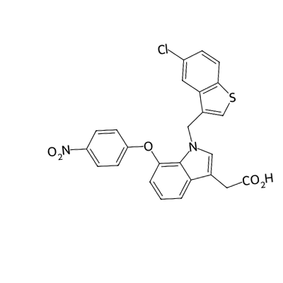 O=C(O)Cc1cn(Cc2csc3ccc(Cl)cc23)c2c(Oc3ccc([N+](=O)[O-])cc3)cccc12